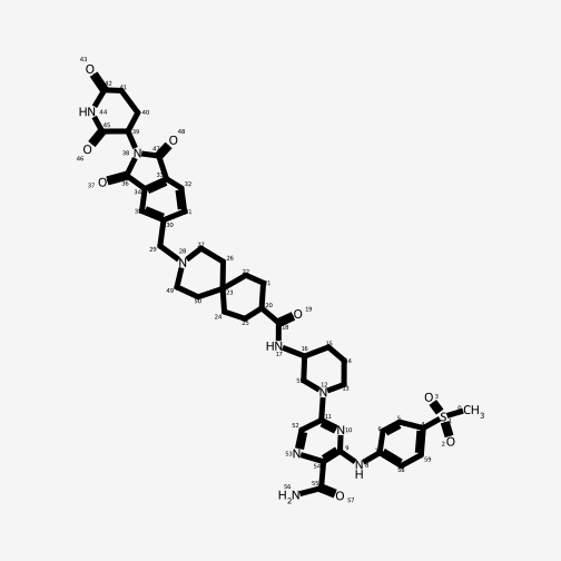 CS(=O)(=O)c1ccc(Nc2nc(N3CCCC(NC(=O)C4CCC5(CC4)CCN(Cc4ccc6c(c4)C(=O)N(C4CCC(=O)NC4=O)C6=O)CC5)C3)cnc2C(N)=O)cc1